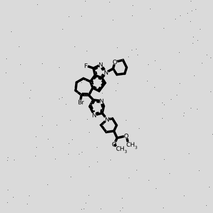 COC(OC)C1CCN(c2cnc(C3=C(Br)CCCc4c3ccc3c4c(F)nn3C3CCCCO3)cn2)CC1